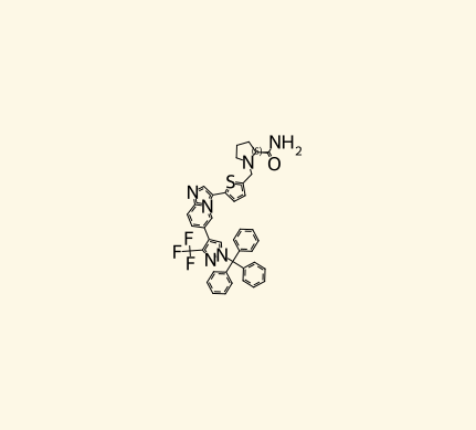 NC(=O)[C@@H]1CCCN1Cc1ccc(-c2cnc3ccc(-c4cn(C(c5ccccc5)(c5ccccc5)c5ccccc5)nc4C(F)(F)F)cn23)s1